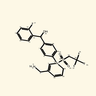 NCC1=C[N+](c2ccc(C(O)c3ccccc3F)cc2)(S(=O)(=O)CC(F)(F)F)CC=C1